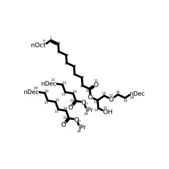 CCCCCCCC/C=C\CCCCCCCC(=O)OC(CO)COCCCCCCCCCCCC.CCCCCCCCCCCCCC(=O)OC(C)C.CCCCCCCCCCCCCCCC(=O)OC(C)C